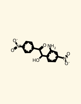 Nc1cc([N+](=O)[O-])ccc1C(O)C(=O)c1ccc([N+](=O)[O-])cc1